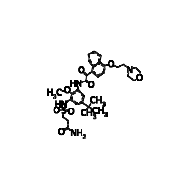 COc1c(NC(=O)C(=O)c2ccc(OCCN3CCOCC3)c3ccccc23)cc(C(C)(C)C)cc1NS(=O)(=O)CCC(N)=O